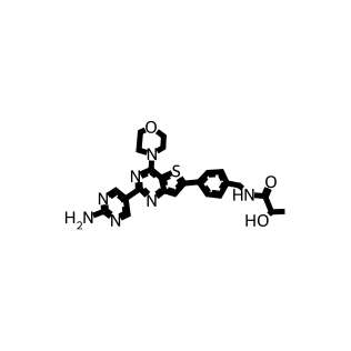 CC(O)C(=O)NCc1ccc(-c2cc3nc(-c4cnc(N)nc4)nc(N4CCOCC4)c3s2)cc1